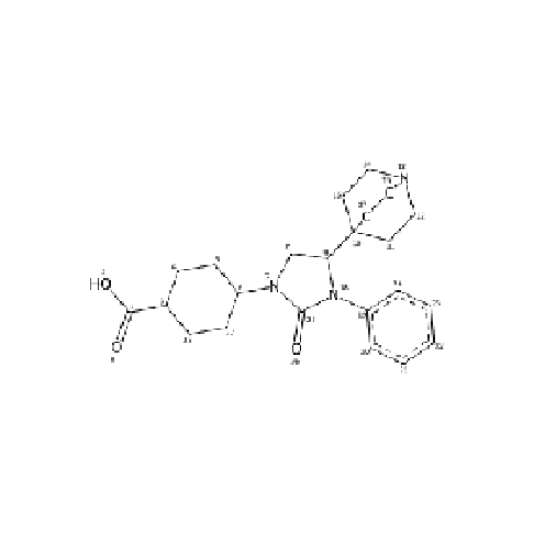 O=C(O)C1CCC(N2CC(C34CCN(CC3)CC4)N(c3ccccc3)C2=O)CC1